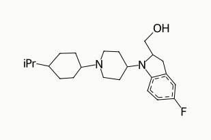 CC(C)C1CCC(N2CCC(N3c4ccc(F)cc4CC3CO)CC2)CC1